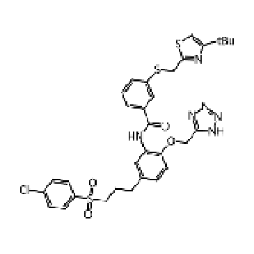 CC(C)(C)c1csc(CSc2cccc(C(=O)Nc3cc(CCCS(=O)(=O)c4ccc(Cl)cc4)ccc3OCc3nnn[nH]3)c2)n1